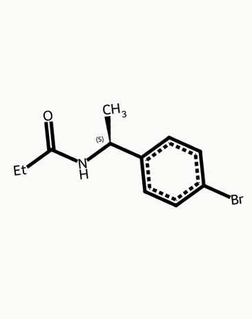 CCC(=O)N[C@@H](C)c1ccc(Br)cc1